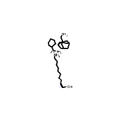 CCCCCCCC/C=C\CCCCCCCCN.C[C@H](N)C1CCCCC1.NCC12CC3CC(CC(C3)C1)C2